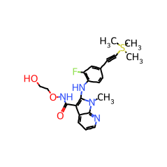 Cn1c(Nc2ccc(C#CS(C)(C)C)cc2F)c(C(=O)NOCCO)c2cccnc21